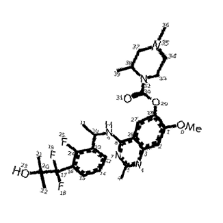 COc1cc2nc(C)nc(NC(C)c3cccc(C(F)(F)C(C)(C)O)c3F)c2cc1OC(=O)N1CCN(C)CC1C